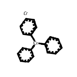 [Cr].c1cc[c]([Cr]([c]2ccccc2)[c]2ccccc2)cc1